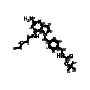 CCOCCNc1nc(N)nc2ccn(Cc3ccc(CNC(=O)OC(C)(C)C)cc3)c12